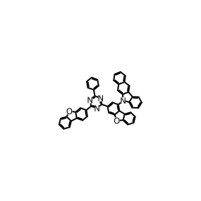 c1ccc(-c2nc(-c3ccc4c(c3)oc3ccccc34)nc(-c3cc(-n4c5ccccc5c5cc6ccccc6cc54)c4c(c3)oc3ccccc34)n2)cc1